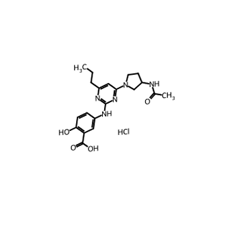 CCCc1cc(N2CCC(NC(C)=O)C2)nc(Nc2ccc(O)c(C(=O)O)c2)n1.Cl